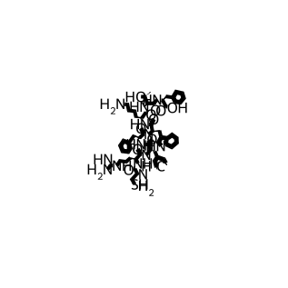 C[C@@H](O)[C@H](NC(=O)[C@H](CCCCN)NC(=O)[C@@H](Cc1c[nH]c2ccccc12)NC(=O)[C@H](Cc1ccccc1)NC(=O)[C@H](Cc1ccccc1)NC(=O)[C@H](CCCNC(=N)N)NC(=O)[C@@H](N)CS)C(=O)N[C@@H](Cc1ccccc1)C(=O)O